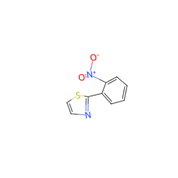 O=[N+]([O-])c1ccccc1-c1nccs1